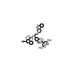 CSc1c(C#N)cc2ccccc2c1C(=O)N(C)C[C@@H](CCN1CCC(c2ccccc2[S@+](C)[O-])CC1)c1ccc(Cl)c(Cl)c1.O=C(O)CC(O)(CC(=O)O)C(=O)O